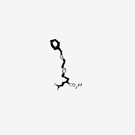 O=C(O)C(CCOCCOCc1ccccc1)CCC(F)F